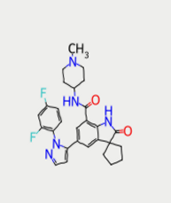 CN1CCC(NC(=O)c2cc(-c3ccnn3-c3ccc(F)cc3F)cc3c2NC(=O)C32CCCC2)CC1